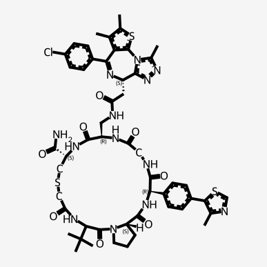 Cc1ncsc1-c1ccc([C@H]2NC(=O)[C@@H]3CCCN3C(=O)C(C(C)(C)C)NC(=O)CSC[C@H](C(N)=O)NC(=O)[C@@H](CNC(=O)C[C@@H]3N=C(c4ccc(Cl)cc4)c4c(sc(C)c4C)-n4c(C)nnc43)NC(=O)CNC2=O)cc1